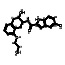 O=C(NC1Cc2c(cccc2OCCO)CC1O)c1cc2cc(Cl)ccc2[nH]1